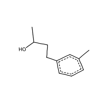 Cc1cccc(CCC(C)O)c1